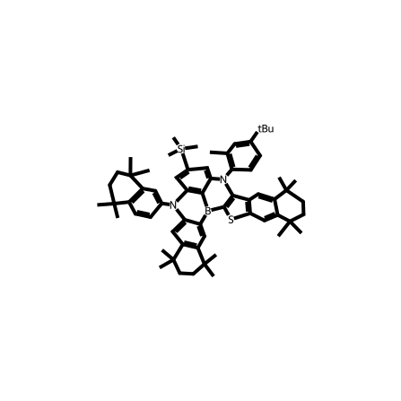 Cc1cc(C(C)(C)C)ccc1N1c2cc([Si](C)(C)C)cc3c2B(c2cc4c(cc2N3c2ccc3c(c2)C(C)(C)CCC3(C)C)C(C)(C)CCC4(C)C)c2sc3cc4c(cc3c21)C(C)(C)CCC4(C)C